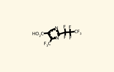 O=C(O)c1cnc(C(F)(F)C(F)(F)C(F)(F)F)nc1C(F)(F)F